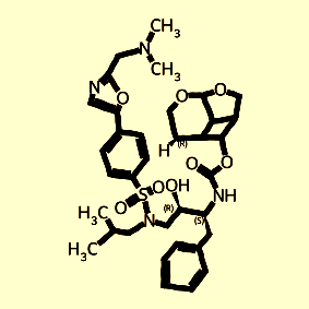 CC(C)CN(C[C@@H](O)[C@H](Cc1ccccc1)NC(=O)OC1C2COC3OC[C@H]1CC32)S(=O)(=O)c1ccc(-c2cnc(CN(C)C)o2)cc1